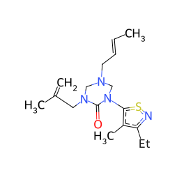 C=C(C)CN1CN(C/C=C/C)CN(c2snc(CC)c2C)C1=O